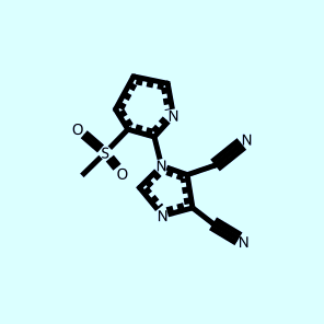 CS(=O)(=O)c1cccnc1-n1cnc(C#N)c1C#N